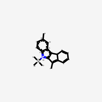 CC1=C2C=CC=CC2c2c1n([Si](C)(C)C)c1ccc(C)cc21